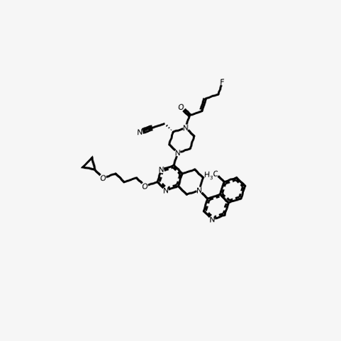 Cc1cccc2cncc(N3CCc4c(nc(OCCCOC5CC5)nc4N4CCN(C(=O)/C=C/CF)[C@@H](CC#N)C4)C3)c12